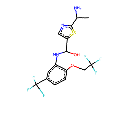 CC(N)c1ncc(C(O)Nc2cc(C(F)(F)F)ccc2OCC(F)(F)F)s1